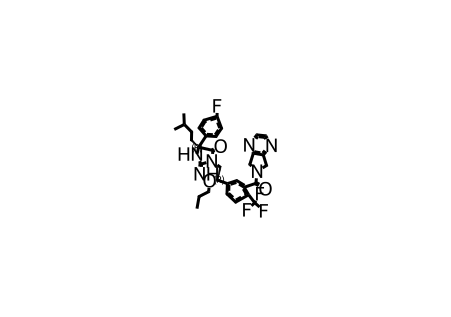 CCCO[C@@H](CN1C(=N)N[C@](CCC(C)C)(c2ccc(F)cc2)C1=O)c1ccc(C(F)(F)F)c(C(=O)N2Cc3nccnc3C2)c1